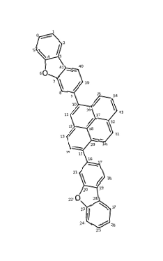 c1ccc2c(c1)oc1cc(-c3cc4ccc(-c5ccc6c(c5)oc5ccccc56)c5ccc6cccc3c6c45)ccc12